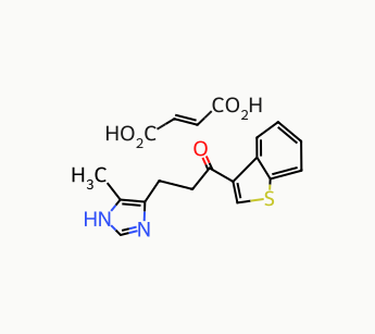 Cc1[nH]cnc1CCC(=O)c1csc2ccccc12.O=C(O)C=CC(=O)O